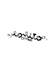 NC(=O)CN1CC[C@@H](CCNc2ncnc(N(Cc3ccc(C(F)(F)F)cn3)C3CC3)c2F)[C@H](O)C1